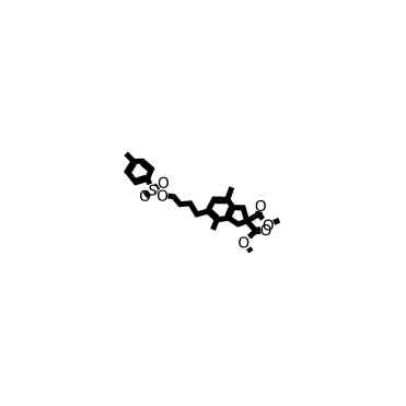 COC(=O)C1(C(=O)OC)Cc2c(C)cc(CCCCOS(=O)(=O)c3ccc(C)cc3)c(C)c2C1